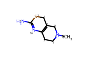 CN1CCC2=C(CSC(N)=N2)C1